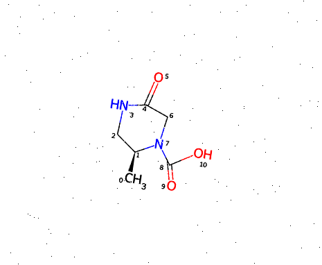 C[C@H]1CNC(=O)CN1C(=O)O